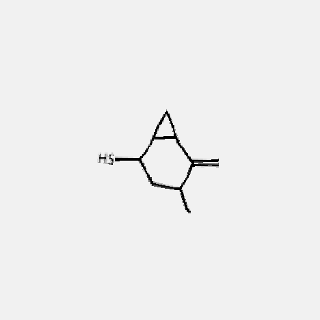 C=C1C(C)CC(S)C2CC12